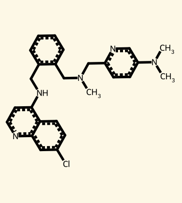 CN(Cc1ccc(N(C)C)cn1)Cc1ccccc1CNc1ccnc2cc(Cl)ccc12